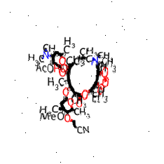 CC[C@H]1OC(=O)[C@H](C)[C@@H](O[C@H]2C[C@@](C)(OC)[C@@H](OCCC#N)[C@H](C)O2)[C@H](C)[C@@H](O[C@@H]2O[C@H](C)C[C@H](N(C)C)[C@H]2OC(C)=O)[C@](C)(O)C[C@@H](C)CN(C)[C@H](C)[C@H]2OOO[C@@]21C